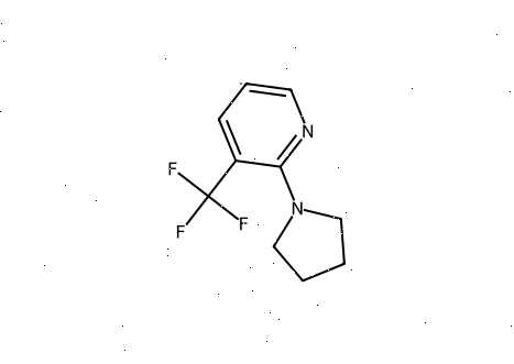 FC(F)(F)c1c[c]cnc1N1CCCC1